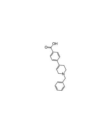 O=C(O)c1ccc(C2=CCN(Cc3ccccc3)CC2)cc1